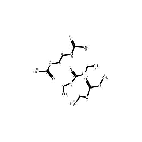 CCOC(=O)OC.CCOC(=O)OCC.O=C(O)OCCOC(=O)O